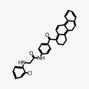 O=C(CNc1ccccc1Cl)Nc1ccc(C(=O)C2=c3ccc4c(c3CCC2)CC=c2ccccc2=4)cc1